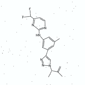 C=C(C)C(C)n1cc(-c2cc(C)cc(Nc3nccc(C(F)F)n3)c2)nn1